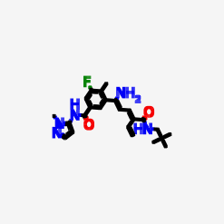 C=C/C(=C\C=C(/N)c1cc(C(=O)Nc2ccnn2C)cc(F)c1C)C(=O)NCC(C)(C)C